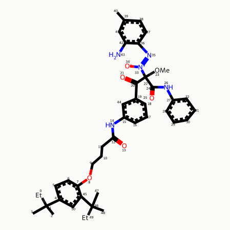 CCC(C)(C)c1ccc(OCCCC(=O)Nc2cccc(C(=O)C(OC)(C(=O)Nc3ccccc3)/[N+]([O-])=N/c3ccc(C)cc3N)c2)c(C(C)(C)CC)c1